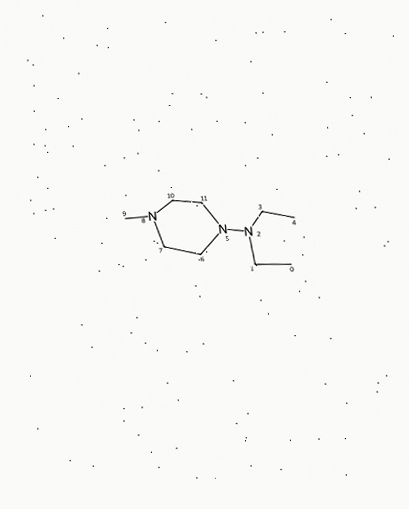 CCN(CC)N1CCN(C)CC1